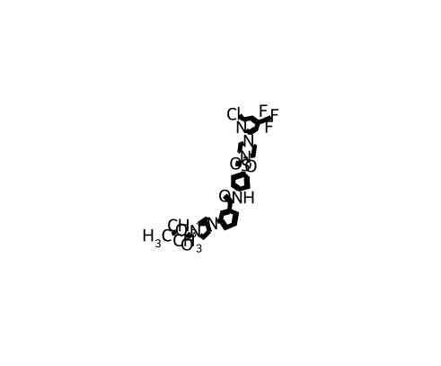 CC(C)(C)OC(=O)N1CC2CC1CN2c1cccc(C(=O)Nc2ccc(S(=O)(=O)N3CCN(c4cc(C(F)(F)F)cc(Cl)n4)CC3)cc2)c1